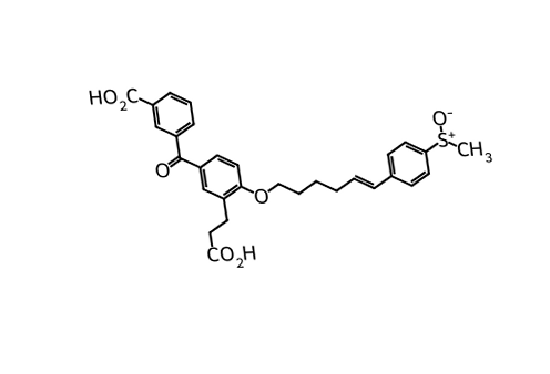 C[S+]([O-])c1ccc(C=CCCCCOc2ccc(C(=O)c3cccc(C(=O)O)c3)cc2CCC(=O)O)cc1